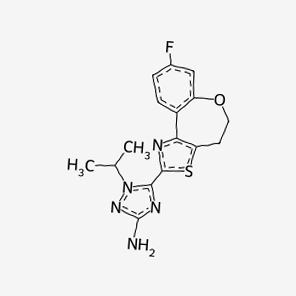 CC(C)n1nc(N)nc1-c1nc2c(s1)CCOc1cc(F)ccc1-2